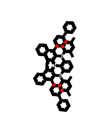 Cc1cc(C)c(B2c3cccc4c3-n3c5c2c(-c2ccc(-c6ccccc6)cc2)c2ccccc2c5c2c5ccccc5c(-c5ccc(-c6ccccc6)cc5)c(c23)B4c2c(C)cc(C)cc2C)c(C)c1